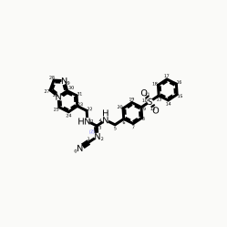 N#C/N=C(/NCc1ccc(S(=O)(=O)c2ccccc2)cc1)NCc1ccn2ccnc2c1